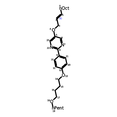 CCCCCCCC/C=C/COc1cnc(-c2ccc(OCCCCOCCCCC)cc2)nc1